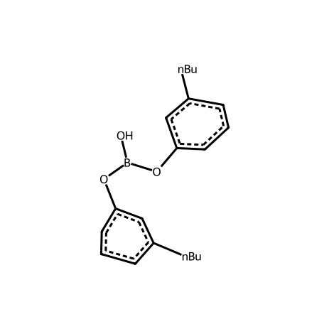 CCCCc1cccc(OB(O)Oc2cccc(CCCC)c2)c1